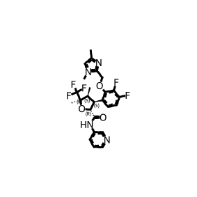 Cc1cn(C)c(COc2c([C@H]3[C@H](C(=O)Nc4cccnc4)O[C@@](C)(C(F)(F)F)[C@H]3C)ccc(F)c2F)n1